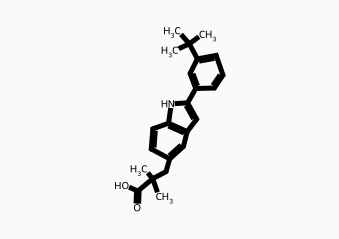 CC(C)(Cc1ccc2[nH]c(-c3cccc(C(C)(C)C)c3)cc2c1)C(=O)O